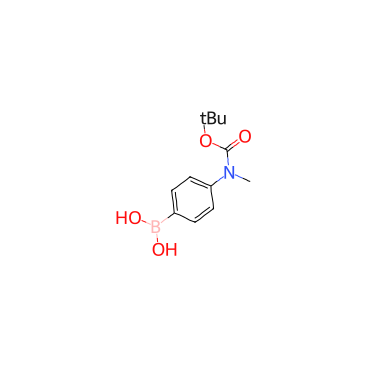 CN(C(=O)OC(C)(C)C)c1ccc(B(O)O)cc1